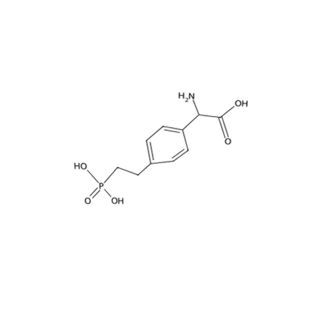 NC(C(=O)O)c1ccc(CCP(=O)(O)O)cc1